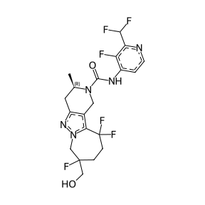 C[C@@H]1Cc2nn3c(c2CN1C(=O)Nc1ccnc(C(F)F)c1F)C(F)(F)CCC(F)(CO)C3